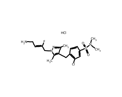 Cc1nn(CC(F)=CCN)c(C)c1Cc1ccc(S(=O)(=O)N(C)C)cc1Cl.Cl